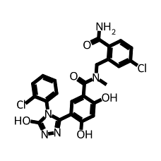 CN(Cc1cc(Cl)ccc1C(N)=O)C(=O)c1cc(-c2nnc(O)n2-c2ccccc2Cl)c(O)cc1O